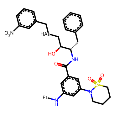 CCNc1cc(C(=O)N[C@@H](Cc2ccccc2)[C@@H](O)C[AsH]Cc2cccc([N+](=O)[O-])c2)cc(N2CCCCS2(=O)=O)c1